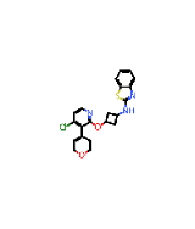 Clc1ccnc(OC2CC(Nc3nc4ccccc4s3)C2)c1C1=CCOCC1